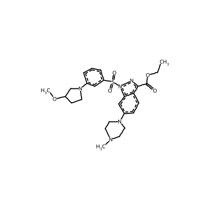 CCOC(=O)c1nn(S(=O)(=O)c2cccc(N3CCC(OC)C3)c2)c2cc(N3CCN(C)CC3)ccc12